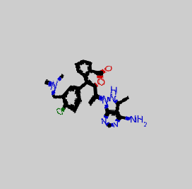 CC1NN(C(C)c2oc(=O)c3ccccc3c2-c2ccc(Cl)c(CN(C)C)c2)c2ncnc(N)c21